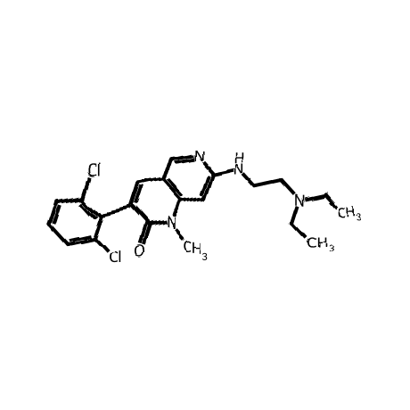 CCN(CC)CCNc1cc2c(cn1)cc(-c1c(Cl)cccc1Cl)c(=O)n2C